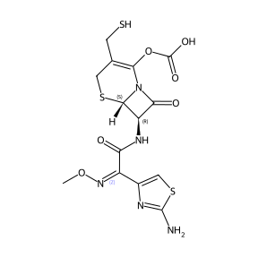 CO/N=C(\C(=O)N[C@@H]1C(=O)N2C(OC(=O)O)=C(CS)CS[C@@H]12)c1csc(N)n1